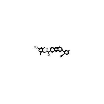 Cc1ccc(C#N)c(-c2ccc3c(c2)c2oc3c3ccc(C(=O)NCc4c(C)cc(N)nc4C)cc32)c1